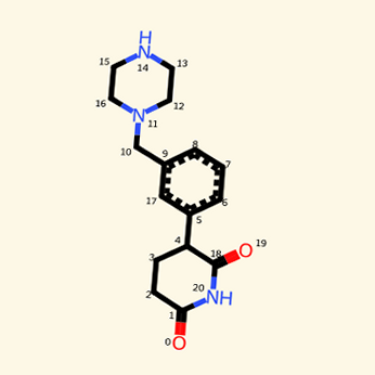 O=C1CCC(c2cccc(CN3CCNCC3)c2)C(=O)N1